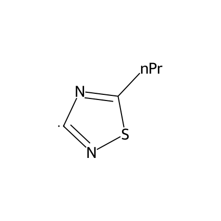 CCCc1n[c]ns1